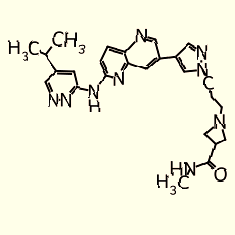 CNC(=O)C1CN(CCCn2cc(-c3cnc4ccc(Nc5cc(C(C)C)cnn5)nc4c3)cn2)C1